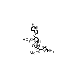 CO/N=C(\C(=O)N[C@@H]1C(=O)N2C(C(=O)O)=C(CN3C=CN4NC(F)=CC=C34)CS[C@@H]12)c1nsc(N)n1